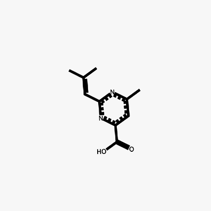 CC(C)=Cc1nc(C)cc(C(=O)O)n1